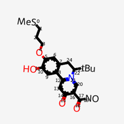 CSCCCOc1cc2c(cc1O)-c1cc(=O)c(C(=O)N=O)cn1C(C(C)(C)C)C2